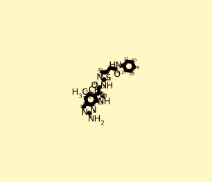 CC1(C)Cc2cnc(N)nc2-c2[nH]nc(C(=O)Nc3ncc(CC(=O)NC4CCCCC4)s3)c21